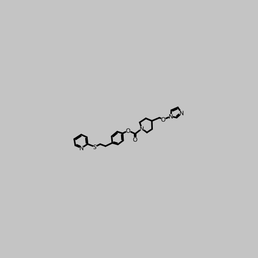 O=C(Oc1ccc(CCSc2ccccn2)cc1)N1CCC(COn2ccnc2)CC1